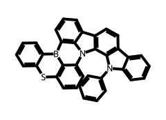 c1ccc(-n2c3ccccc3c3ccc4c5cccc6c5n(c4c32)-c2cccc3c2B6c2ccccc2S3)cc1